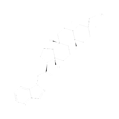 COC[C@@]1(O)CC[C@H]2[C@@H](CC[C@@H]3[C@@H]2CC[C@]2(C)[C@@H](C(=O)Cn4ncc5ncccc54)CC[C@@H]32)C1